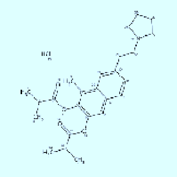 Cc1c(OC(=O)C(C)C)c(OC(=O)C(C)C)cc2ccc(CCN3CCCC3)cc12.Cl